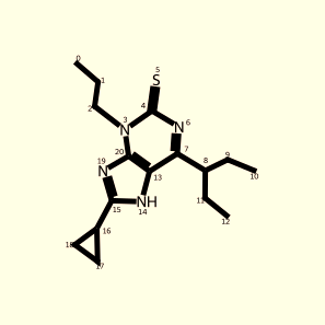 CCCn1c(=S)nc(C(CC)CC)c2[nH]c(C3CC3)nc21